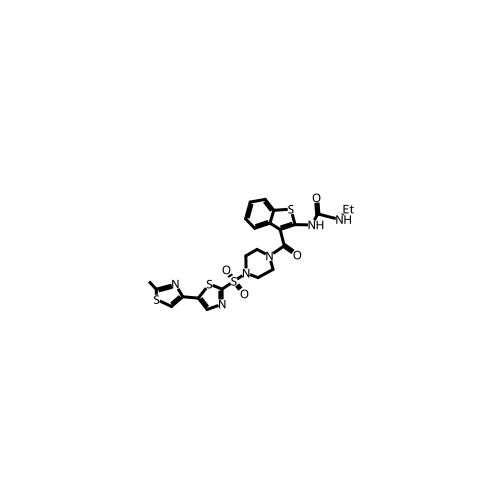 CCNC(=O)Nc1sc2ccccc2c1C(=O)N1CCN(S(=O)(=O)c2ncc(-c3csc(C)n3)s2)CC1